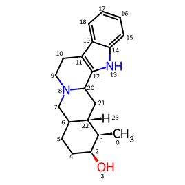 C[C@H]1[C@@H](O)CCC2CN3CCc4c([nH]c5ccccc45)C3C[C@@H]21